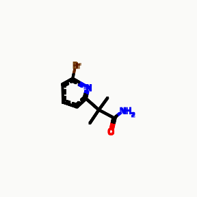 CC(C)(C(N)=O)c1cccc(Br)n1